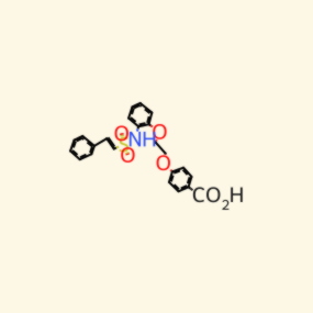 O=C(O)c1ccc(OCCOc2ccccc2NS(=O)(=O)/C=C/c2ccccc2)cc1